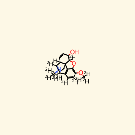 [2H]c1c([2H])c2c3c(c1OC([2H])([2H])[2H])OC1([2H])C(O)C=C[C@@H]4[C@@]31CCN(C([2H])([2H])[2H])[C@]4([2H])C2([2H])[2H]